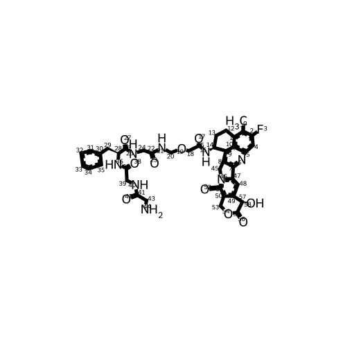 Cc1c(F)cc2nc3c(c4c2c1CC[C@@H]4NC(=O)COCNC(=O)CNC(=O)[C@H](Cc1ccccc1)NC(=O)CNC(=O)CN)Cn1c-3cc2c(c1=O)COC(=O)[C@H]2O